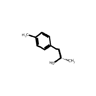 Cc1ccc(C[C@H](C)O)cc1